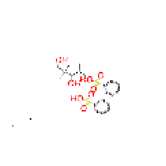 CC(C)C(O)C(C)(C)CO.O=S(=O)(O)c1ccccc1.O=S(=O)(O)c1ccccc1